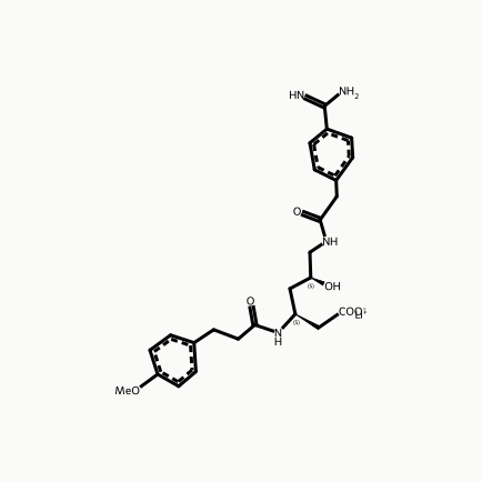 COc1ccc(CCC(=O)N[C@H](CC(=O)[O-])C[C@H](O)CNC(=O)Cc2ccc(C(=N)N)cc2)cc1.[Li+]